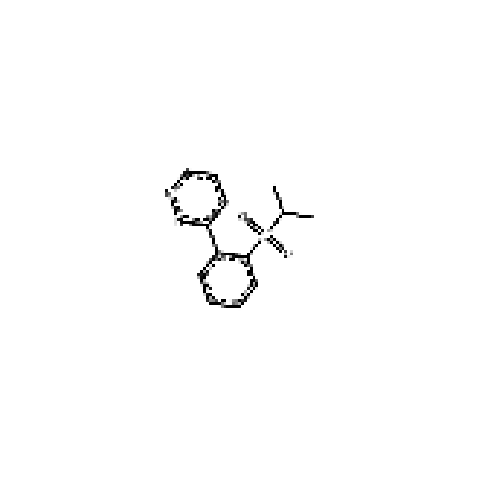 CC(C)S(=O)(=O)c1ccccc1-c1cccnn1